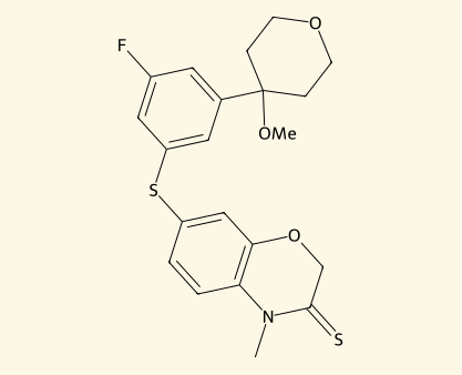 COC1(c2cc(F)cc(Sc3ccc4c(c3)OCC(=S)N4C)c2)CCOCC1